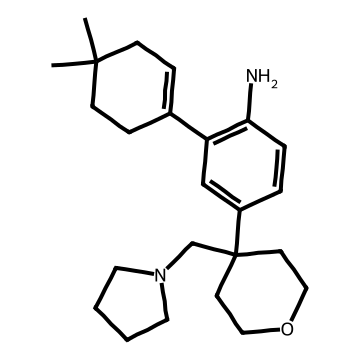 CC1(C)CC=C(c2cc(C3(CN4CCCC4)CCOCC3)ccc2N)CC1